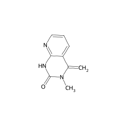 C=C1c2cccnc2NC(=O)N1C